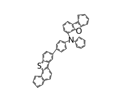 c1ccc(N(c2ccc(-c3ccc4sc5c6ccccc6ccc5c4c3)cc2)c2cccc3c2oc2ccccc23)cc1